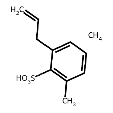 C.C=CCc1cccc(C)c1S(=O)(=O)O